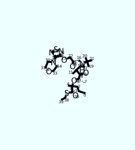 CCCC(C)(O[C@@H](C)C(=O)C(C)(CC)O[C@@H](CNC(C)(C)C)COc1nsnc1N1CCOCC1)C(=O)SCC